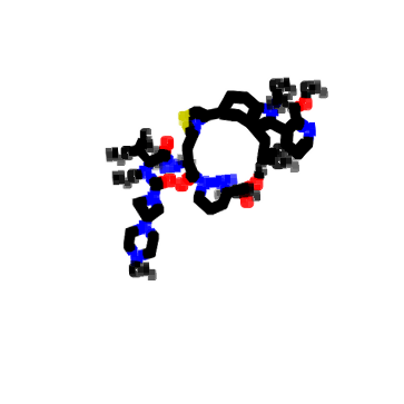 CCn1c(-c2cccnc2[C@H](C)OC)c2c3cc(ccc31)-c1csc(n1)C[C@H](NC(=O)[C@H](C(C)C)N(C)C(=O)N1CC(N3CCN(C)CC3)C1)C(=O)N1CCC[C@@]([SiH3])(N1)C(=O)OCC(C)(C)C2